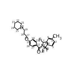 Cc1ccc2c(c1)C(F)N(C(=O)c1ccc(OCCCN3CCCCC3)cc1)C2(F)F